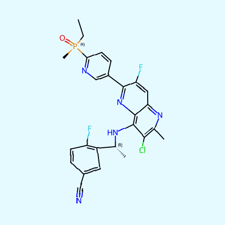 CC[P@@](C)(=O)c1ccc(-c2nc3c(N[C@H](C)c4cc(C#N)ccc4F)c(Cl)c(C)nc3cc2F)cn1